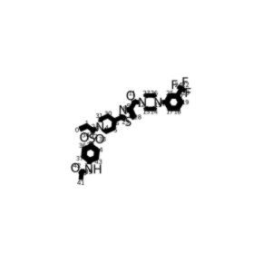 C=CC(N1CCC(c2nc(C(=O)N3CCN(c4cccc(C(F)(F)F)c4)CC3)cs2)CC1)S(=O)(=O)c1ccc(NC(C)=O)cc1